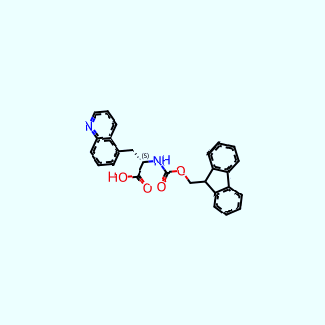 O=C(N[C@@H](Cc1cccc2ncccc12)C(=O)O)OCC1c2ccccc2-c2ccccc21